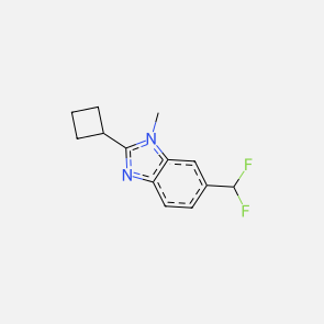 Cn1c(C2CCC2)nc2ccc(C(F)F)cc21